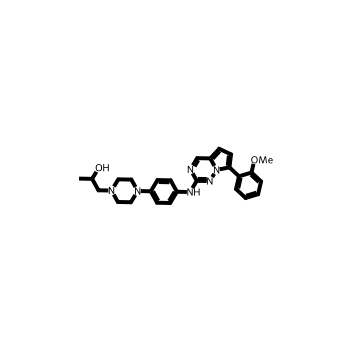 COc1ccccc1-c1ccc2cnc(Nc3ccc(N4CCN(CC(C)O)CC4)cc3)nn12